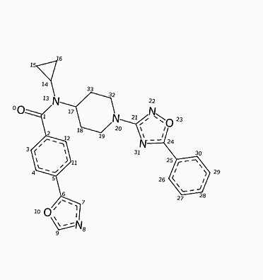 O=C(c1ccc(-c2cnco2)cc1)N(C1CC1)C1CCN(c2noc(-c3ccccc3)n2)CC1